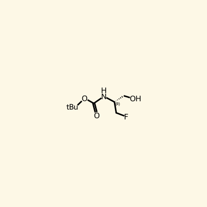 CC(C)(C)OC(=O)N[C@H](CO)CF